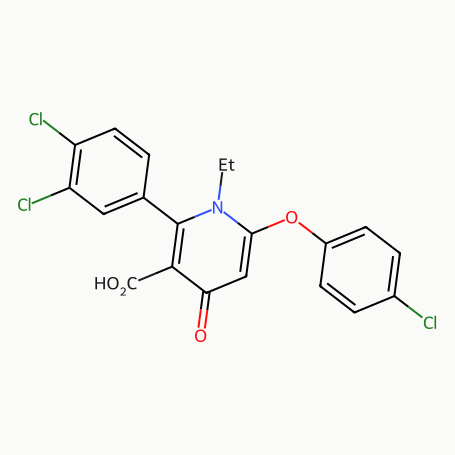 CCn1c(Oc2ccc(Cl)cc2)cc(=O)c(C(=O)O)c1-c1ccc(Cl)c(Cl)c1